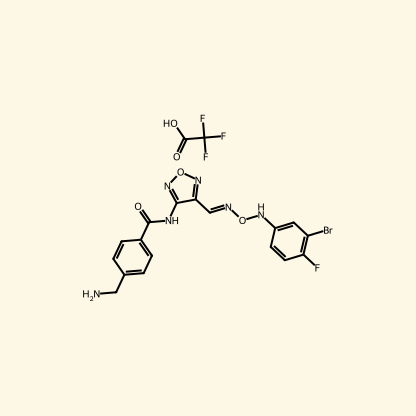 NCc1ccc(C(=O)Nc2nonc2/C=N/ONc2ccc(F)c(Br)c2)cc1.O=C(O)C(F)(F)F